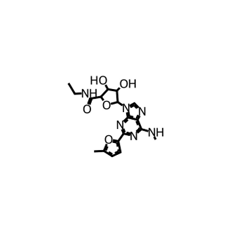 CCNC(=O)C1OC(n2cnc3c(NC)nc(-c4ccc(C)o4)nc32)C(O)C1O